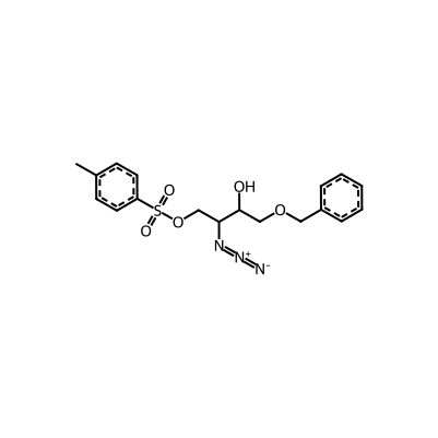 Cc1ccc(S(=O)(=O)OCC(N=[N+]=[N-])C(O)COCc2ccccc2)cc1